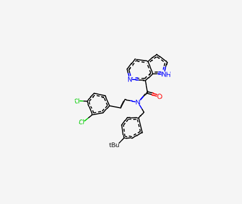 CC(C)(C)c1ccc(CN(CCc2ccc(Cl)c(Cl)c2)C(=O)c2nccc3cc[nH]c23)cc1